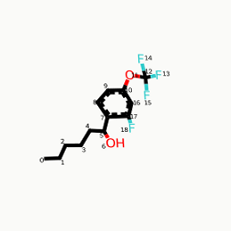 CCCCCC(O)c1ccc(OC(F)(F)F)cc1F